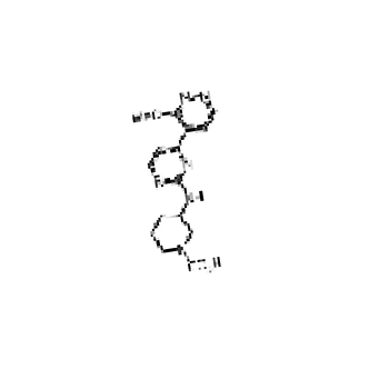 COc1nnccc1-c1ccnc(NC2CCCN(C(=O)O)C2)n1